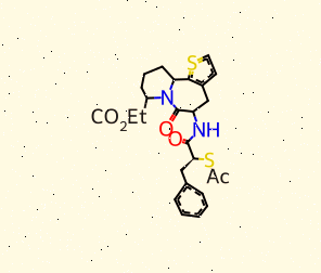 CCOC(=O)C1CCCC2c3sccc3CC(NC(=O)[C@H](Cc3ccccc3)SC(C)=O)C(=O)N12